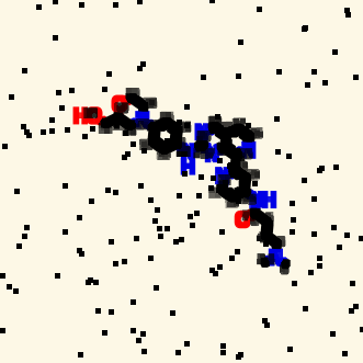 CN(C)C/C=C/C(=O)Nc1ccnc(-c2nccc3cnc(Nc4ccc(N5CCOC(CO)C5)cc4)nc23)c1